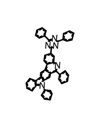 c1ccc(-c2nc(-c3ccccc3)nc(-c3ccc4c(c3)nc(-c3ccccc3)c3cc5c(cc34)c3ccccc3n5-c3ccccc3)n2)cc1